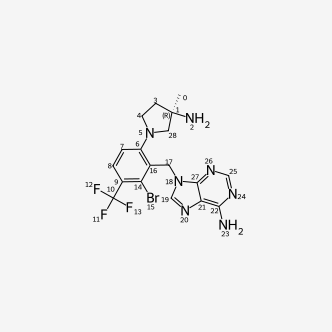 C[C@@]1(N)CCN(c2ccc(C(F)(F)F)c(Br)c2Cn2cnc3c(N)ncnc32)C1